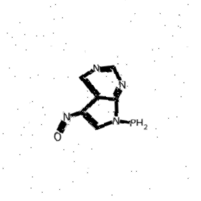 O=Nc1cn(P)c2ncncc12